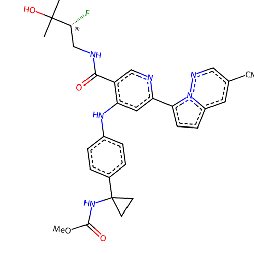 COC(=O)NC1(c2ccc(Nc3cc(-c4ccc5cc(C#N)cnn45)ncc3C(=O)NC[C@@H](F)C(C)(C)O)cc2)CC1